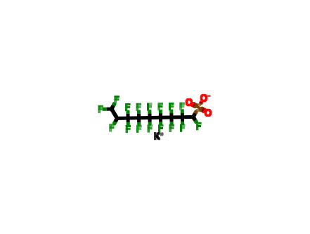 O=S(=O)([O-])C(F)C(F)(F)C(F)(F)C(F)(F)C(F)(F)C(F)(F)C(F)(F)C(F)C(F)F.[K+]